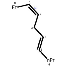 CC/C=C\CC=CCCC